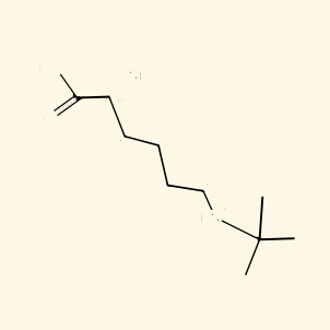 CC(C)(C)NCCCC[C@@H](N)C(=O)O